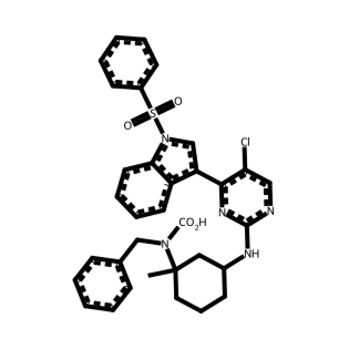 CC1(N(Cc2ccccc2)C(=O)O)CCCC(Nc2ncc(Cl)c(-c3cn(S(=O)(=O)c4ccccc4)c4ccccc34)n2)C1